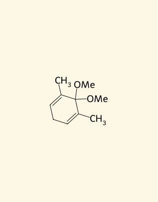 COC1(OC)C(C)=CCC=C1C